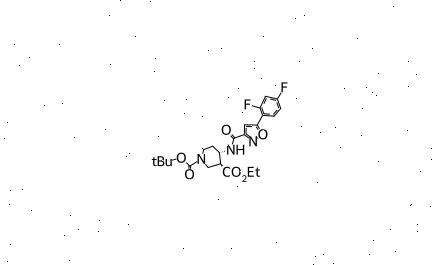 CCOC(=O)[C@H]1CN(C(=O)OC(C)(C)C)CC[C@@H]1NC(=O)c1cc(-c2ccc(F)cc2F)on1